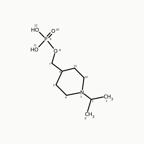 CC(C)N1CCC(COP(=O)(O)O)CC1